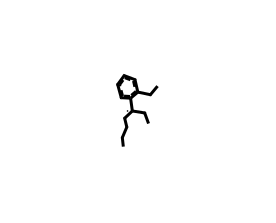 CCCC[C](CC)c1ccccc1CC